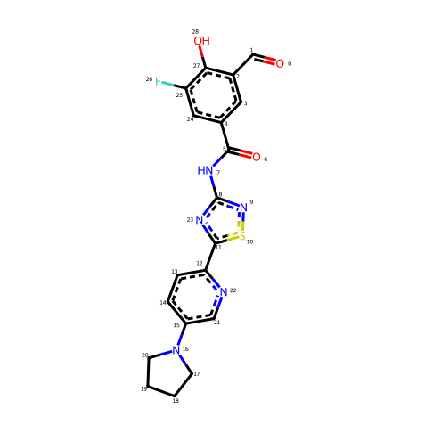 O=Cc1cc(C(=O)Nc2nsc(-c3ccc(N4CCCC4)cn3)n2)cc(F)c1O